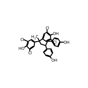 CC(CC(Cc1ccc(O)cc1)c1ccc(O)cc1)(c1cc(Cl)c(O)c(Cl)c1)c1cc(Cl)c(O)c(Cl)c1